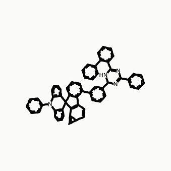 C1=CC2C=C2C2=C1c1c(-c3cccc(C4N=C(c5ccccc5)N=C(c5ccccc5-c5ccccc5)N4)c3)cccc1C21c2ccccc2N(c2ccccc2)c2ccccc21